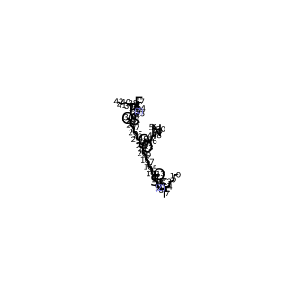 CCCCCC(F)(F)/C=C\CSC(=O)CCCCCCCC(CCCCCCCC(=O)SC/C=C\C(F)(F)CCCCC)OC(=O)CCCN(C)C